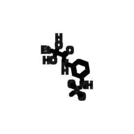 CCC(O)(O)C(=O)Nc1cccc(NS(C)(=O)=O)c1